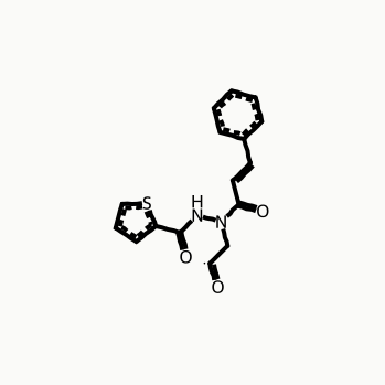 O=[C]CN(NC(=O)c1cccs1)C(=O)C=Cc1ccccc1